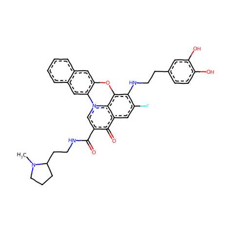 CN1CCCC1CCNC(=O)c1cn2c3c(c(NCCc4ccc(O)c(O)c4)c(F)cc3c1=O)Oc1cc3ccccc3cc1-2